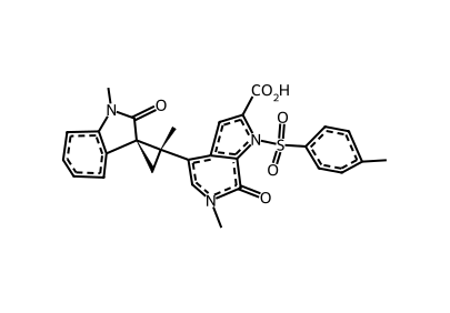 Cc1ccc(S(=O)(=O)n2c(C(=O)O)cc3c([C@]4(C)C[C@@]45C(=O)N(C)c4ccccc45)cn(C)c(=O)c32)cc1